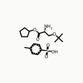 CC(C)(C)OC[C@H](N)C(=O)OC1CCCC1.Cc1ccc(S(=O)(=O)O)cc1